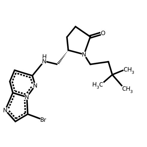 CC(C)(C)CCN1C(=O)CC[C@H]1CNc1ccc2ncc(Br)n2n1